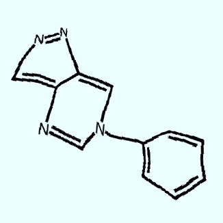 c1ccc(-n2cnc3cnnc-3c2)cc1